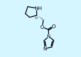 O=C(OC[C@@H]1CCCN1)n1ccnc1